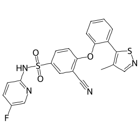 Cc1cnsc1-c1ccccc1Oc1ccc(S(=O)(=O)Nc2ccc(F)cn2)cc1C#N